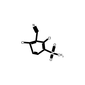 CS(=O)(=O)c1ccc(Cl)c(C#N)c1Cl